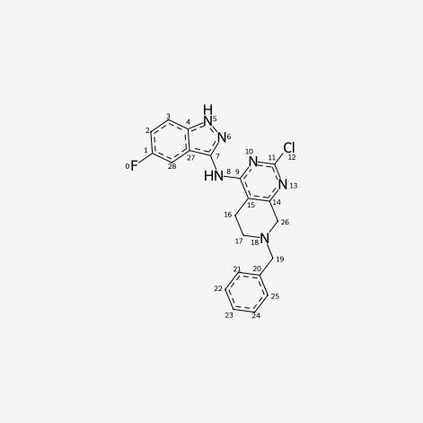 Fc1ccc2[nH]nc(Nc3nc(Cl)nc4c3CCN(Cc3ccccc3)C4)c2c1